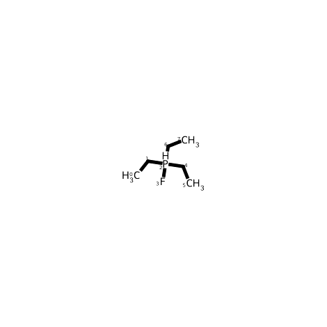 CC[PH](F)(CC)CC